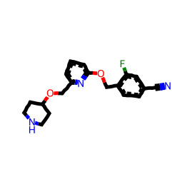 N#Cc1ccc(COc2cccc(COC3CCNCC3)n2)c(F)c1